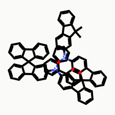 CC1(C)c2ccccc2-c2ccc(N(c3ccc4c(c3)C3(c5ccccc5-c5ccc(N(c6ccccc6)c6ccc7c(c6)C6(c8ccccc8-c8ccccc86)c6ccccc6-7)cc53)c3ccccc3-4)c3ccccc3-c3ccccc3)cc21